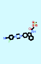 CS(=O)(=O)OCC(=O)NC1CC2(CCC(N3CCN(c4ccc(C#N)c(F)c4)CC3)CC2)c2ccccc21